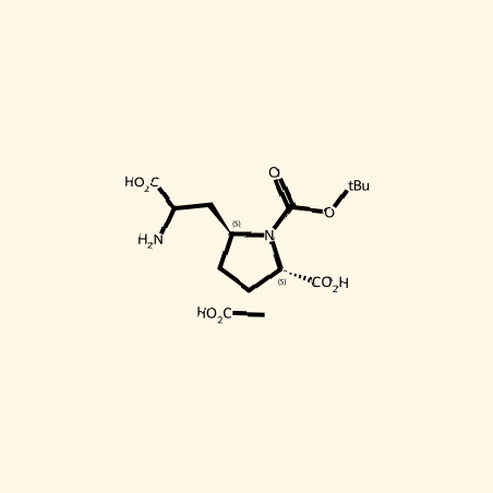 CC(=O)O.CC(C)(C)OC(=O)N1[C@H](CC(N)C(=O)O)CC[C@H]1C(=O)O